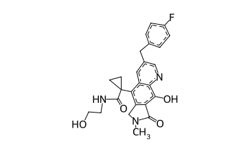 CN1Cc2c(c(O)c3ncc(Cc4ccc(F)cc4)cc3c2C2(C(=O)NCCO)CC2)C1=O